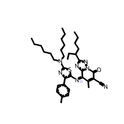 CCCCCCN(CCCCCC)c1nc(-c2ccc(C)cc2)c(/N=C2/C(C)=C(C#N)C(=O)n3nc(C(CC)CCCC)nc32)s1